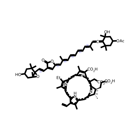 C=Cc1c(C)c2cc3nc(c(CC(=O)O)c4nc(cc5[nH]c(cc1[nH]2)c(C)c5CC)C(C)=C4C(=O)O)[C@@H](CCC(=O)O)[C@@H]3C.CC(=O)OC1CC(C)(C)C(=C=C/C(C)=C/C=C/C=C/C=C(C)/C=C2C=C(/C=C/C34OC3(C)CC(O)CC4(C)C)C(=O)O/2)C(C)(O)C1